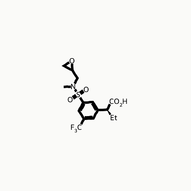 CC[C@H](C(=O)O)c1cc(C(F)(F)F)cc(S(=O)(=O)N(C)CC2CO2)c1